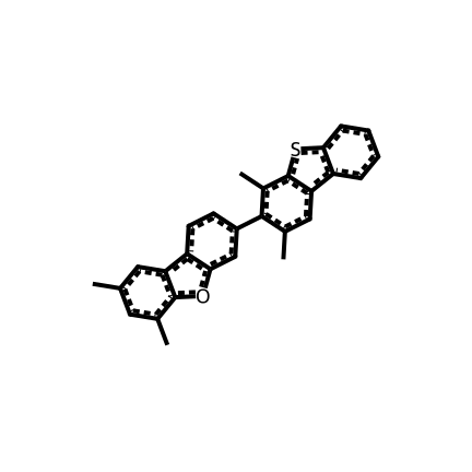 Cc1cc(C)c2oc3cc(-c4c(C)cc5c(sc6ccccc65)c4C)ccc3c2c1